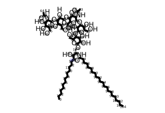 CCCCCCCCCCCCC/C=C/[C@@H](O)[C@H](CO[C@@H]1OC(CO)[C@@H](O[C@@H]2OC(CO)[C@H](O)[C@H](O[C@@H]3OC(CO)[C@@H](O[C@@H]4OC(CO)[C@H](O)[C@H](O[C@@H]5OC(CO)[C@H](O)[C@H](O)C5NC(C)=O)C4O)[C@H](O)C3NC(C)=O)C2O)[C@H](O)C1O)NC(=O)CCCCCCCCCCCCCCCCCCCCC